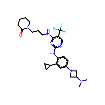 CN(C)C1CN(c2ccc(Nc3ncc(C(F)(F)F)c(NCCCN4CCCCC4=O)n3)c(C3CC3)c2)C1